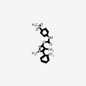 Cc1c(OC(=O)Nc2ccc(S(C)(=O)=O)cc2)nn(C)c1-c1ccccc1C(F)(F)F